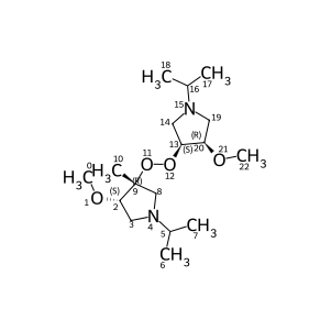 CO[C@H]1CN(C(C)C)C[C@@]1(C)OO[C@H]1CN(C(C)C)C[C@H]1OC